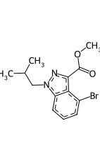 COC(=O)c1nn(CC(C)C)c2cccc(Br)c12